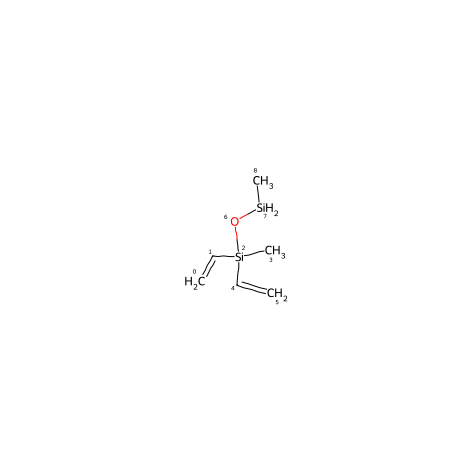 C=C[Si](C)(C=C)O[SiH2]C